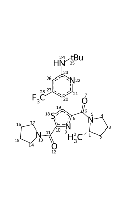 C[C@H]1CCCN1C(=O)c1nc(C(=O)N2CCCC2)sc1-c1cnc(NC(C)(C)C)cc1C(F)(F)F